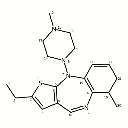 CCc1cc2c(s1)N(N1CCN(C)CC1)C1=C(N=C2)C(C)CC=C1